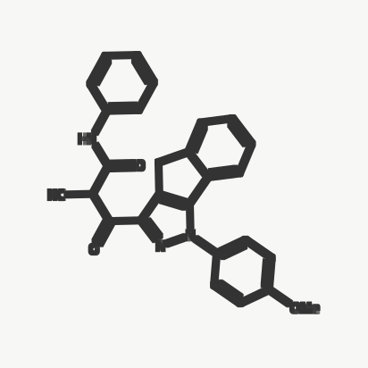 COc1ccc(-n2nc(C(=O)C(C#N)C(=O)Nc3ccccc3)c3c2-c2ccccc2C3)cc1